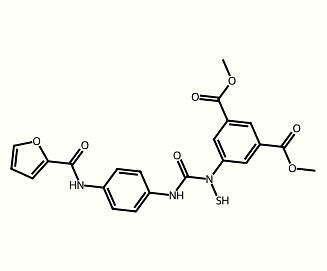 COC(=O)c1cc(C(=O)OC)cc(N(S)C(=O)Nc2ccc(NC(=O)c3ccco3)cc2)c1